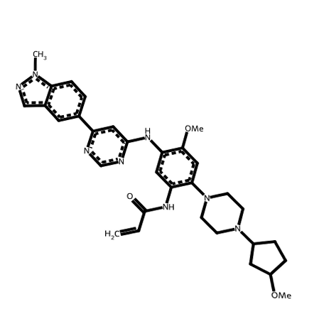 C=CC(=O)Nc1cc(Nc2cc(-c3ccc4c(cnn4C)c3)ncn2)c(OC)cc1N1CCN(C2CCC(OC)C2)CC1